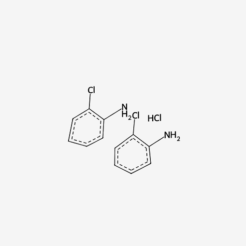 Cl.Nc1ccccc1Cl.Nc1ccccc1Cl